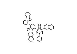 c1ccc(C2=NC(c3ccc4ccccc4c3)NC(c3ccc(-c4cccc5c4oc4ccccc45)c4oc5cc6ccccc6cc5c34)=N2)cc1